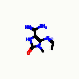 C/C=N\c1c(C(=N)N)[nH]c(=O)n1C